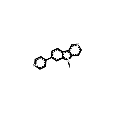 In1c2ccncc2c2ccc(-c3ccncc3)cc21